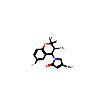 CCC1(CC)Oc2ccc(C#N)cc2C(N2CC(OC)=CC2=O)C1OC(C)=O